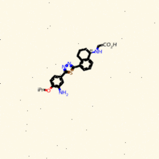 CC(C)Oc1ccc(-c2nnc(-c3cccc4c3CCC[C@H]4NCC(=O)O)s2)cc1N